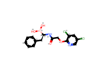 O=C(COc1ncc(Cl)cc1Cl)N[C@@H](Cc1ccccc1)B(O)O